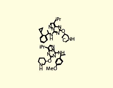 CC(C)c1cnn2c(NC(C)c3ccccc3C3CC3)nc(O[C@@H]3CCCNC3)nc12.COc1ccc(C(C)Nc2nc(O[C@@H]3CCCNC3)nc3c(C(C)C)cnn23)cc1